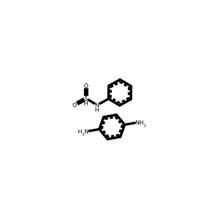 Nc1ccc(N)cc1.O=[SH](=O)Nc1ccccc1